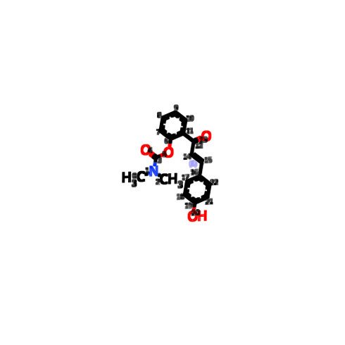 CN(C)C(=O)Oc1ccccc1C(=O)/C=C/c1ccc(O)cc1